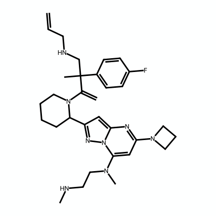 C=CCNCC(C)(C(=C)N1CCCCC1c1cc2nc(N3CCC3)cc(N(C)CCNC)n2n1)c1ccc(F)cc1